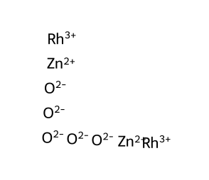 [O-2].[O-2].[O-2].[O-2].[O-2].[Rh+3].[Rh+3].[Zn+2].[Zn+2]